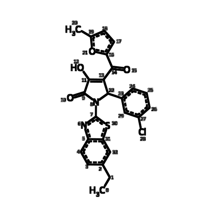 CCc1ccc2nc(N3C(=O)C(O)=C(C(=O)c4ccc(C)o4)C3c3cccc(Cl)c3)sc2c1